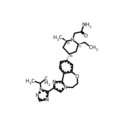 CC[C@H]1C[C@H](c2ccc3c(c2)OCCn2cc(-c4ncnn4C(C)C)nc2-3)C[C@@H](C)N1CC(N)=O